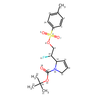 Cc1ccc(S(=O)(=O)OC[C@H](F)C2C=CCN2C(=O)OC(C)(C)C)cc1